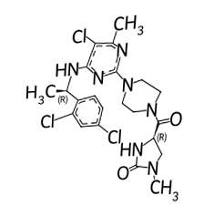 Cc1nc(N2CCN(C(=O)[C@H]3CN(C)C(=O)N3)CC2)nc(N[C@H](C)c2ccc(Cl)cc2Cl)c1Cl